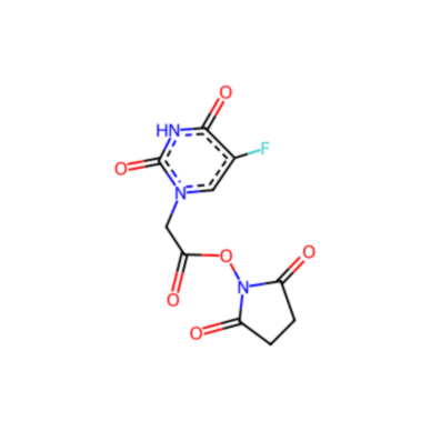 O=C(Cn1cc(F)c(=O)[nH]c1=O)ON1C(=O)CCC1=O